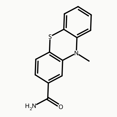 CN1c2ccccc2Sc2ccc(C(N)=O)cc21